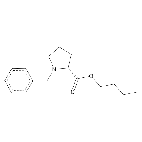 CCCCOC(=O)[C@H]1CCCN1Cc1ccccc1